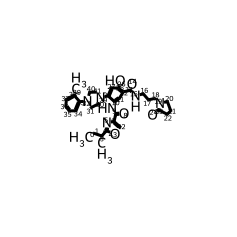 CCC(C)c1nc(C(=O)Nc2cc(C(=O)NCCCN3CCCC3=O)c(O)cc2N2CCN(c3ccccc3C)CC2)co1